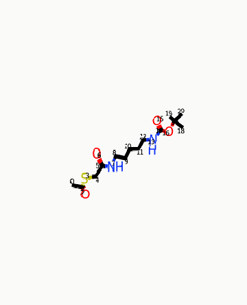 CC(=O)SCC(=O)NCCCCCNC(=O)OC(C)(C)C